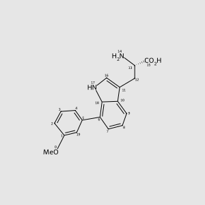 COc1cccc(-c2cccc3c(C[C@H](N)C(=O)O)c[nH]c23)c1